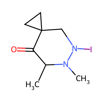 CC1C(=O)C2(CC2)CN(I)N1C